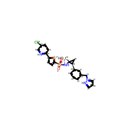 O=C(O)[C@@]1(NS(=O)(=O)c2ccc(-c3ccc(Cl)cn3)s2)C[C@H]1c1cccc(Cn2cccn2)c1